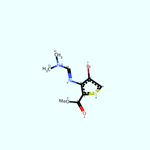 COC(=O)c1scc(Br)c1N=CN(C)C